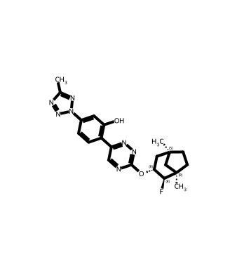 Cc1nnn(-c2ccc(-c3cnc(O[C@@H]4C[C@@]5(C)CC[C@](C)(C5)[C@H]4F)nn3)c(O)c2)n1